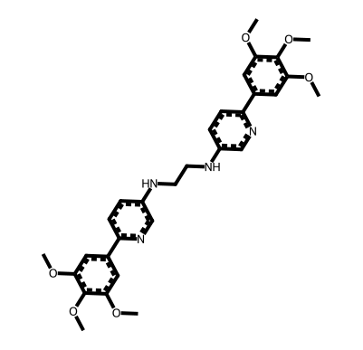 COc1cc(-c2ccc(NCCNc3ccc(-c4cc(OC)c(OC)c(OC)c4)nc3)cn2)cc(OC)c1OC